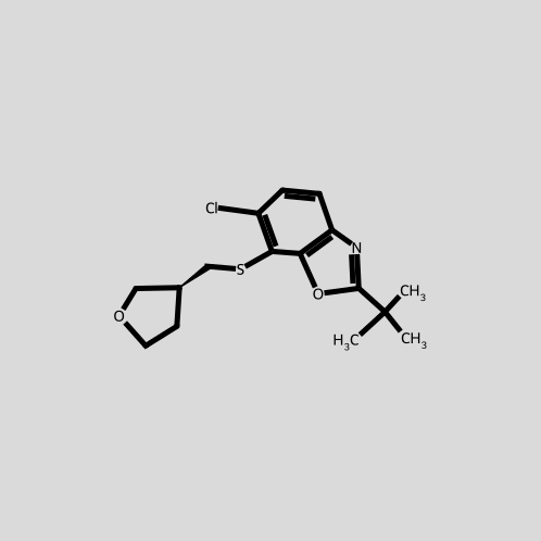 CC(C)(C)c1nc2ccc(Cl)c(SC[C@H]3CCOC3)c2o1